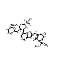 Cc1cc(C(F)(F)F)nc(-c2ccnc3cc(CN4C(=O)C5C(C6OC64)C5(C)C)sc23)c1CC1CNCCO1